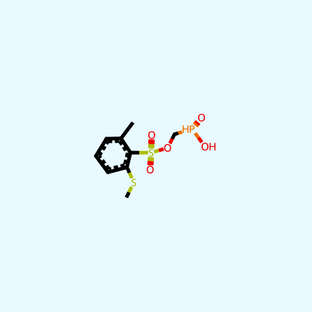 CSc1cccc(C)c1S(=O)(=O)OC[PH](=O)O